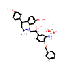 C[C@@H](CC(c1ccc(O)cc1)c1ccc(O)cc1)NC[C@H](O)c1ccc(OCc2ccccc2)c(NS(C)(=O)=O)c1